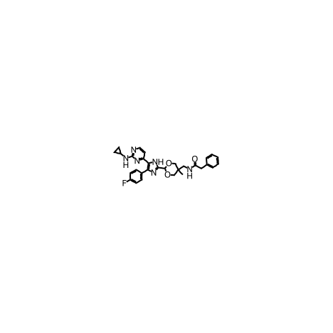 CC1(CNC(=O)Cc2ccccc2)COC(c2nc(-c3ccc(F)cc3)c(-c3ccnc(NC4CC4)n3)[nH]2)OC1